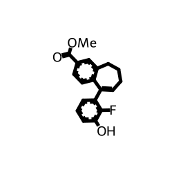 COC(=O)c1ccc2c(c1)CCCC=C2c1cccc(O)c1F